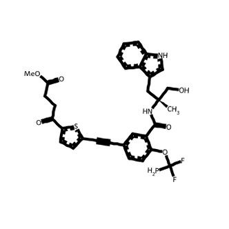 COC(=O)CCC(=O)c1ccc(C#Cc2ccc(OC(F)(F)P)c(C(=O)N[C@@](C)(CO)Cc3c[nH]c4ccccc34)c2)s1